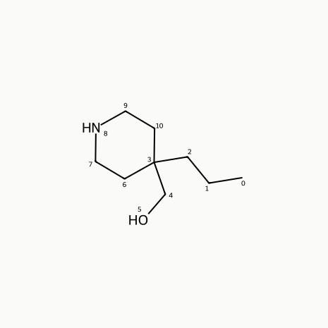 CCCC1(CO)CCNCC1